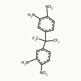 Nc1cc(C(c2ccc([N+](=O)[O-])c(N)c2)(C(F)(F)F)C(F)(F)F)ccc1[N+](=O)[O-]